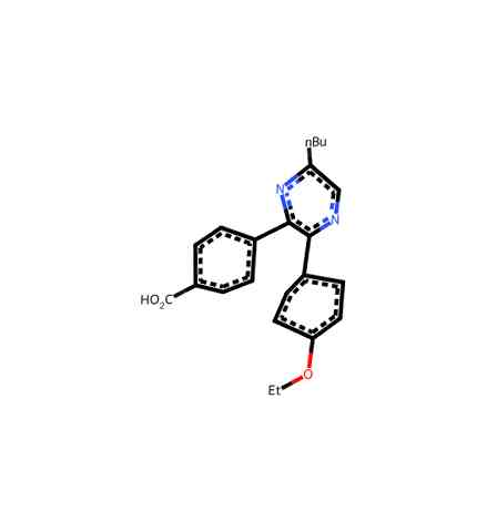 CCCCc1cnc(-c2ccc(OCC)cc2)c(-c2ccc(C(=O)O)cc2)n1